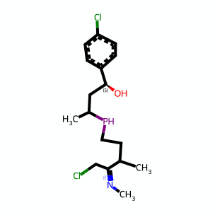 C/N=C(/CCl)C(C)CCPC(C)C[C@H](O)c1ccc(Cl)cc1